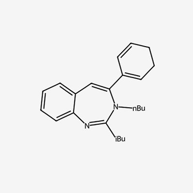 CCCCN1C(C2=CCCC=C2)=Cc2ccccc2N=C1C(C)CC